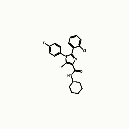 CCc1c(C(=O)NN2CCCCC2)nc(-c2ccccc2Cl)n1-c1ccc(F)cc1